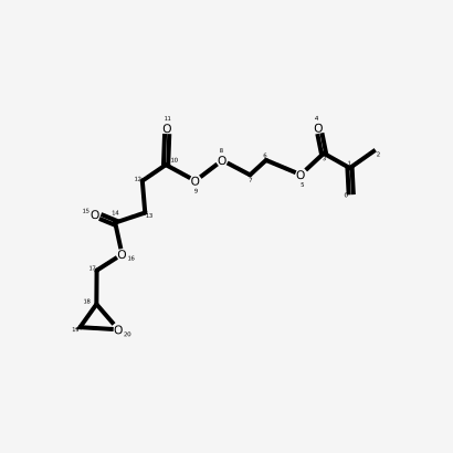 C=C(C)C(=O)OCCOOC(=O)CCC(=O)OCC1CO1